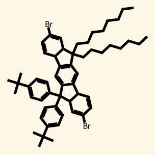 CCCCCCCCC1(CCCCCCCC)c2cc3c(cc2C2C=CC(Br)=CC21)C(c1ccc(C(C)(C)C)cc1)(c1ccc(C(C)(C)C)cc1)C1C=C(Br)C=CC31